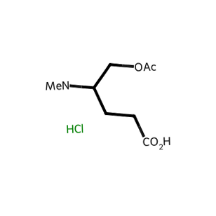 CNC(CCC(=O)O)COC(C)=O.Cl